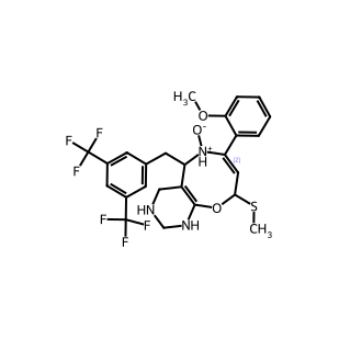 COc1ccccc1/C1=C/C(SC)OC2=C(CNCN2)C(Cc2cc(C(F)(F)F)cc(C(F)(F)F)c2)[NH+]1[O-]